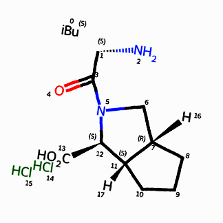 CC[C@H](C)[C@H](N)C(=O)N1C[C@@H]2CCC[C@@H]2[C@H]1C(=O)O.Cl.Cl